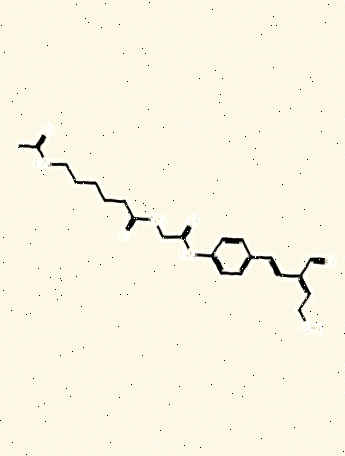 CC(=O)NCCCCCC(=O)NCC(=O)Nc1ccc(/C=C/C(C=O)=C\CO)cc1